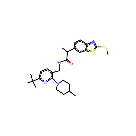 CSc1nc2ccc(C(C)C(=O)NCc3ccc(C(C)(C)C)nc3N3CCC(C)CC3)cc2s1